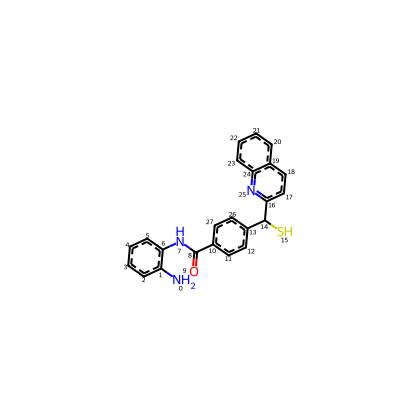 Nc1ccccc1NC(=O)c1ccc(C(S)c2ccc3ccccc3n2)cc1